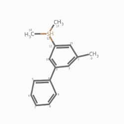 Cc1cc(-c2ccccc2)cc([SH](C)C)c1